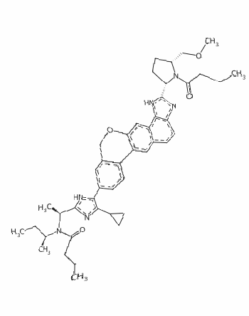 CCCC(=O)N([C@@H](C)CC)[C@@H](C)c1nc(C2CC2)c(-c2ccc3c(c2)COc2cc4c(ccc5nc([C@@H]6CC[C@H](COC)N6C(=O)CCC)[nH]c54)cc2-3)[nH]1